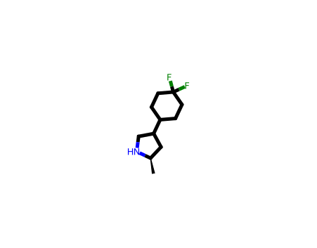 C[C@@H]1CC(C2CCC(F)(F)CC2)CN1